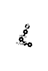 Cc1ccc(NC(=O)c2ccc(N3CCOCC3)cc2)cc1-c1nc(-c2ccccc2)c[nH]1